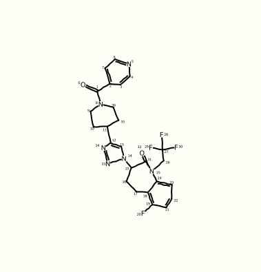 O=C(c1ccncc1)N1CCC(c2cn(C3CCc4c(F)cccc4N(CC(F)(F)F)C3=O)nn2)CC1